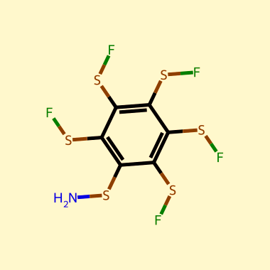 NSc1c(SF)c(SF)c(SF)c(SF)c1SF